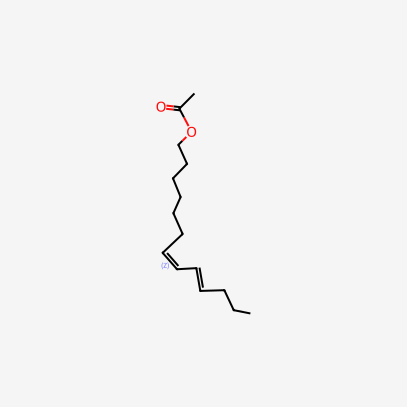 CCCC=C/C=C\CCCCCCOC(C)=O